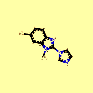 Cn1c(-n2ccnc2)nc2ccc(C#N)cc21